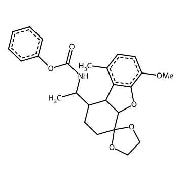 COc1ccc(C)c2c1OC1C2C(C(C)NC(=O)Oc2ccccc2)CCC12OCCO2